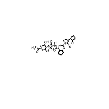 CC(=O)OCC1=C(C(=O)O)N2C(=O)C(NC(=O)C(NC(=O)N3CCN(C4C=CSC4=O)C3=C=O)c3ccccc3)[C@@H]2SC1